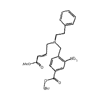 COC(=O)/C=C/CN(CCc1ccccc1)Cc1ccc(C(=O)OC(C)(C)C)cc1[N+](=O)[O-]